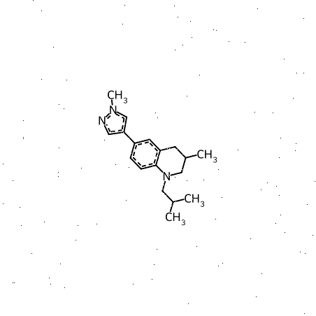 CC(C)CN1CC(C)Cc2cc(-c3cnn(C)c3)ccc21